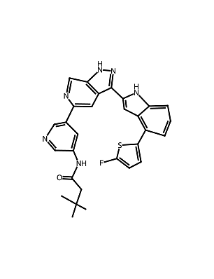 CC(C)(C)CC(=O)Nc1cncc(-c2cc3c(-c4cc5c(-c6ccc(F)s6)cccc5[nH]4)n[nH]c3cn2)c1